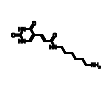 NCCCCCCNC(=O)C=Cc1c[nH]c(=O)[nH]c1=O